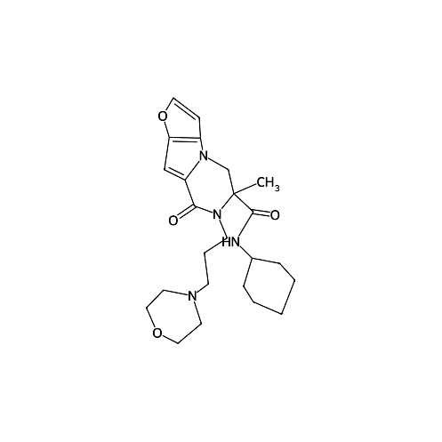 CC1(C(=O)NC2CCCCC2)Cn2c(cc3occc32)C(=O)N1CCCN1CCOCC1